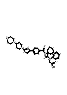 O=C(O)CN(C(=O)C1(NC(=O)c2ccc(-c3csc(N4CCC(N5CCOCC5)CC4)n3)cc2)CCCCC1)c1ccccc1